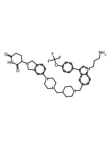 NCCCn1cc(-c2ccc(OC(F)(F)F)cc2)c2cc(CN3CCC(CN4CCN(c5ccc6c(c5)CN(C5CCC(=O)NC5=O)C6)CC4)CC3)ccc21